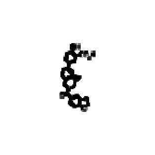 O=C(O)c1cc(-c2ccc(CN(CC3CC3)C(=O)c3ccc4c(c3)OCO4)cc2)ccc1O